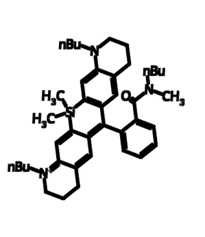 CCCCN(C)C(=O)c1ccccc1C1=c2cc3c(cc2[Si](C)(C)c2cc4c(cc21)CCCN4CCCC)=[N+](CCCC)CCC3